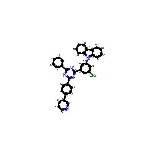 Brc1cc(-c2nc(-c3ccccc3)nc(-c3ccc(-c4cccnc4)cc3)n2)cc(-n2c3ccccc3c3ccccc32)c1